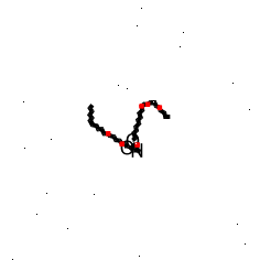 CCCCC/C=C\CCCCCCCCCCCO[C@@H]1CN(C)C[C@H]1OCCCCCCCCC/C=C\C/C=C\CCCCCC